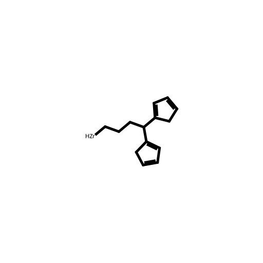 [ZrH][CH2]CCC(C1=CC=CC1)C1=CC=CC1